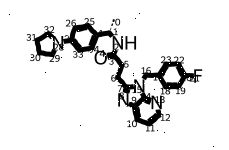 C[C@H](NC(=O)CCc1nc2cccnc2n1Cc1ccc(F)cc1)c1ccc(N2CCCC2)cc1